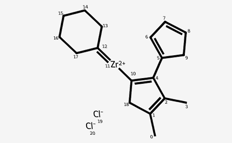 CC1=C(C)C(C2=CC=CC2)=[C]([Zr+2]=[C]2CCCCC2)C1.[Cl-].[Cl-]